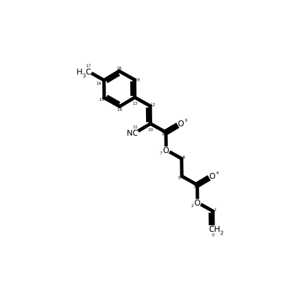 C=COC(=O)CCOC(=O)/C(C#N)=C/c1ccc(C)cc1